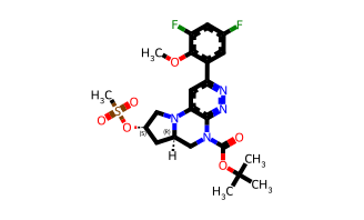 COc1c(F)cc(F)cc1-c1cc2c(nn1)N(C(=O)OC(C)(C)C)C[C@H]1C[C@H](OS(C)(=O)=O)CN21